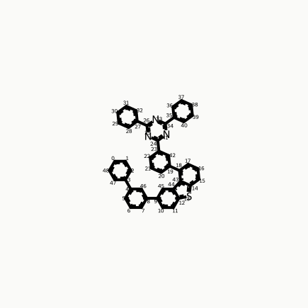 c1ccc(-c2cccc(-c3ccc4sc5cccc(-c6cccc(-c7nc(-c8ccccc8)nc(-c8ccccc8)n7)c6)c5c4c3)c2)cc1